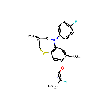 CCCC[C@@H]1CSc2cc(O/C=C(\F)C(=O)OCC)c(SC)cc2N(c2ccc(F)cc2)C1